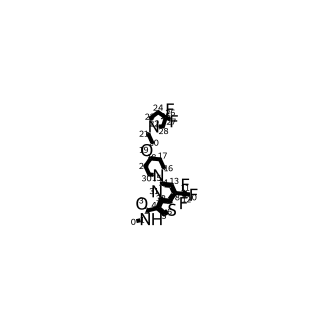 CNC(=O)c1csc2c(C(F)(F)F)cc(N3CCC(OCCN4CCC(F)(F)C4)CC3)nc12